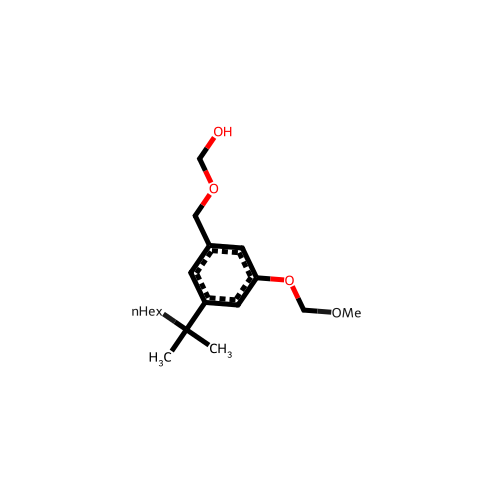 CCCCCCC(C)(C)c1cc(COCO)cc(OCOC)c1